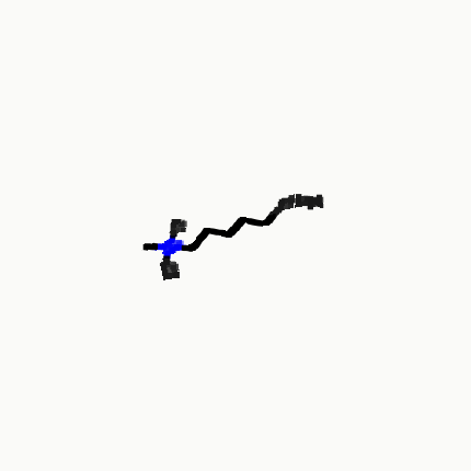 CCCCCCCCCCCC[N+](C)(CC)CC